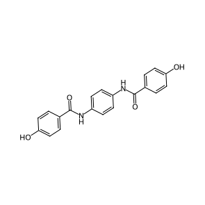 O=C(Nc1ccc(NC(=O)c2ccc(O)cc2)cc1)c1ccc(O)cc1